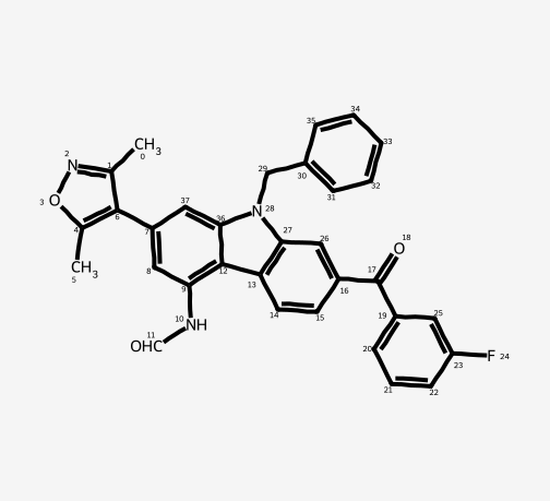 Cc1noc(C)c1-c1cc(NC=O)c2c3ccc(C(=O)c4cccc(F)c4)cc3n(Cc3ccccc3)c2c1